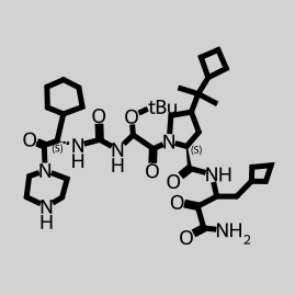 CC(C)(C)OC(NC(=O)N[C@H](C(=O)N1CCNCC1)C1CCCCC1)C(=O)N1CC(C(C)(C)C2CCC2)C[C@H]1C(=O)NC(CC1CCC1)C(=O)C(N)=O